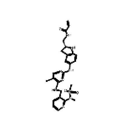 C=CC(=O)NC[C@@H]1Cc2cc(Nc3ncc(C)c(NCc4cccnc4N(C)S(C)(=O)=O)n3)ccc2N1